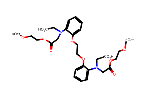 CCCCCCCCOCCOC(=O)CN(CC(=O)O)c1ccccc1OCCOc1ccccc1N(CC(=O)O)CC(=O)OCCOCCCCCCCC